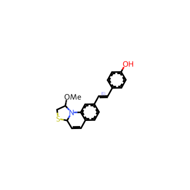 COC1CSC2C=Cc3ccc(/C=C/c4ccc(O)cc4)cc3N12